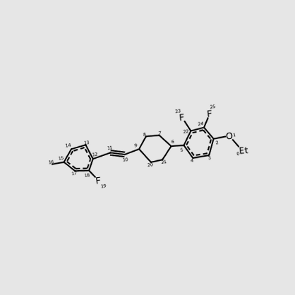 CCOc1ccc(C2CCC(C#Cc3ccc(C)cc3F)CC2)c(F)c1F